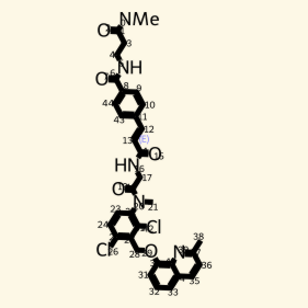 CNC(=O)CCNC(=O)c1ccc(/C=C/C(=O)NCC(=O)N(C)c2ccc(Cl)c(COc3cccc4ccc(C)nc34)c2Cl)cc1